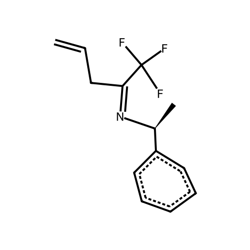 C=CCC(=N[C@@H](C)c1ccccc1)C(F)(F)F